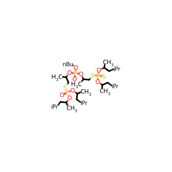 CCCCOP(=O)(OC(C)CSP(=O)(OC(C)CC(C)C)OC(C)CC(C)C)OC(C)CSP(=S)(OC(C)CC(C)C)OC(C)CC(C)C